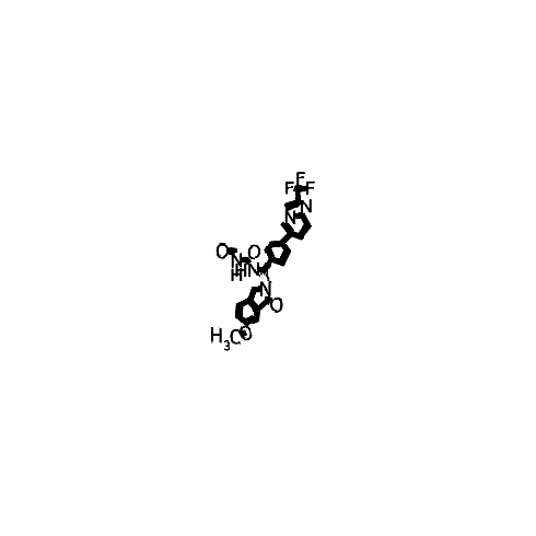 COc1ccc2c(c1)C(=O)N(C[C@H](NC(=O)NC=O)c1ccc(-c3ccc4nc(C(F)(F)F)cn4c3)cc1)C2